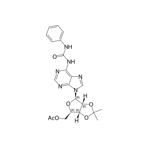 CC(=O)OC[C@H]1O[C@@H](n2cnc3c(NC(=O)Nc4ccccc4)ncnc32)[C@@H]2OC(C)(C)O[C@@H]21